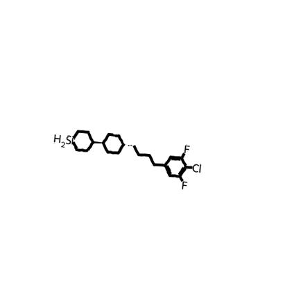 Fc1cc(CCCC[C@H]2CC[C@H](C3CC[SiH2]CC3)CC2)cc(F)c1Cl